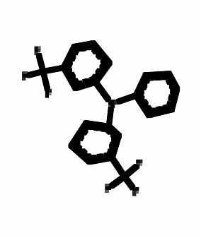 FC(F)(F)c1cccc([S+](c2ccccc2)c2cccc(C(F)(F)F)c2)c1